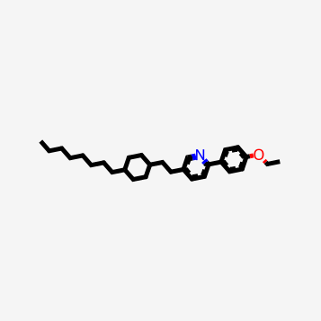 CCCCCCCCC1CCC(CCc2ccc(-c3ccc(OCC)cc3)nc2)CC1